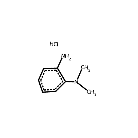 CN(C)c1ccccc1N.Cl